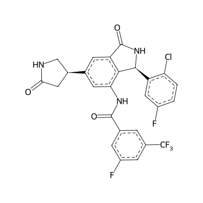 O=C1C[C@H](c2cc(NC(=O)c3cc(F)cc(C(F)(F)F)c3)c3c(c2)C(=O)N[C@H]3c2cc(F)ccc2Cl)CN1